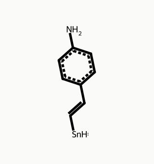 Nc1ccc(C=[CH][SnH])cc1